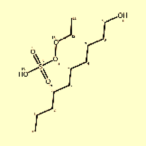 CCCCCCCCCCO.CCOOS(=O)(=O)O